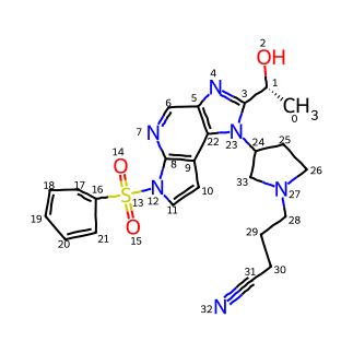 C[C@@H](O)c1nc2cnc3c(ccn3S(=O)(=O)c3ccccc3)c2n1C1CCN(CCCC#N)C1